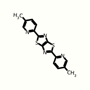 Cc1ccc(-c2nc3sc(-c4ccc(C)cn4)nc3s2)nc1